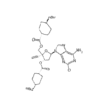 C#C[C@]1(COC(=O)[C@H]2CC[C@H](CCCC)CC2)O[C@@H](n2cnc3c(N)nc(Cl)nc32)C[C@@H]1OC(=O)[C@H]1CC[C@H](CCCC)CC1